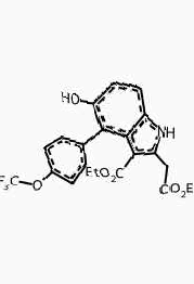 CCOC(=O)Cc1[nH]c2ccc(O)c(-c3ccc(OC(F)(F)F)cc3)c2c1C(=O)OCC